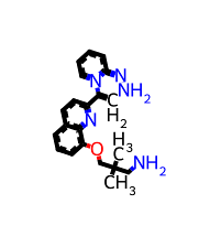 C=C(c1ccc2cccc(OCC(C)(C)CN)c2n1)n1cccc/c1=N/N